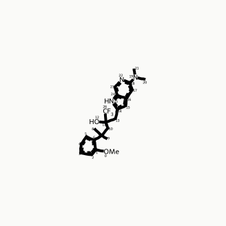 COc1ccccc1C(C)(C)CC(O)(Cc1cc2cc(N(C)C)ncc2[nH]1)C(F)(F)F